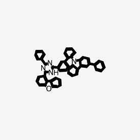 c1ccc(C2=NC(c3cccc4oc5ccccc5c34)NC(c3cccc(-c4ccccc4-n4c5ccccc5c5cc(-c6ccccc6)ccc54)c3)=N2)cc1